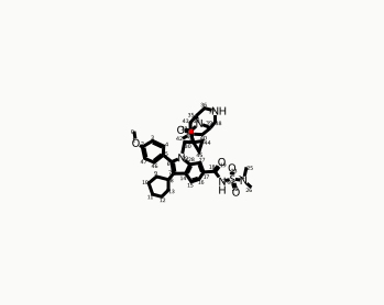 COc1ccc(-c2c(C3CCCCC3)c3ccc(C(=O)NS(=O)(=O)N(C)C)cc3n2CC2(C(=O)N3C4CNCC3CN(C)C4)CC2)cc1